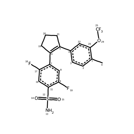 Cc1ccc(C2=C(c3cc(F)c(S(N)(=O)=O)cc3F)CCC2)cc1OC(F)(F)F